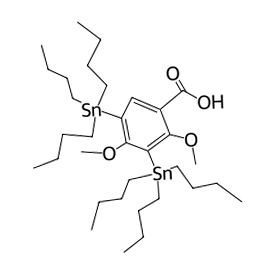 CCC[CH2][Sn]([CH2]CCC)([CH2]CCC)[c]1cc(C(=O)O)c(OC)[c]([Sn]([CH2]CCC)([CH2]CCC)[CH2]CCC)c1OC